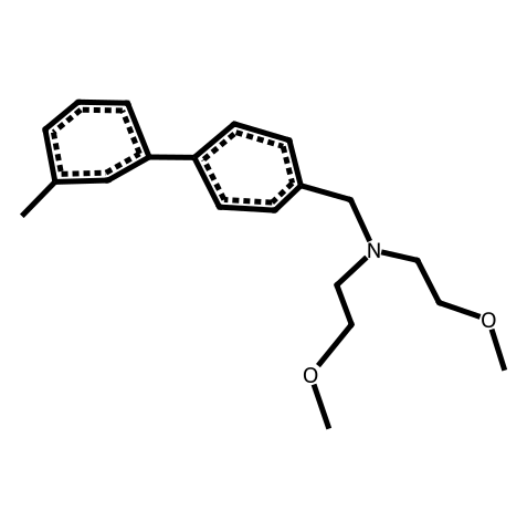 COCCN(CCOC)Cc1ccc(-c2cccc(C)c2)cc1